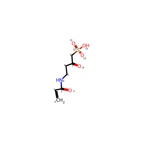 C=CC(=O)NCCC(=O)CS(=O)(=O)O